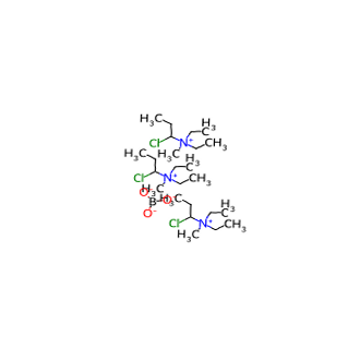 CCC(Cl)[N+](C)(CC)CC.CCC(Cl)[N+](C)(CC)CC.CCC(Cl)[N+](C)(CC)CC.[O-]B([O-])[O-]